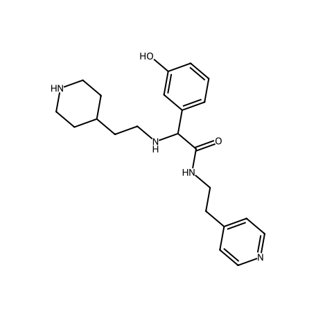 O=C(NCCc1ccncc1)C(NCCC1CCNCC1)c1cccc(O)c1